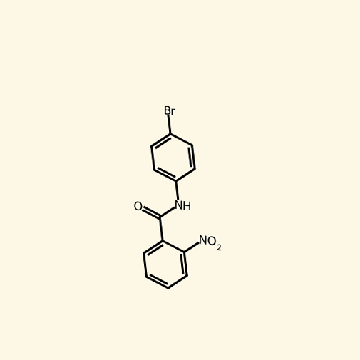 O=C(Nc1ccc(Br)cc1)c1ccccc1[N+](=O)[O-]